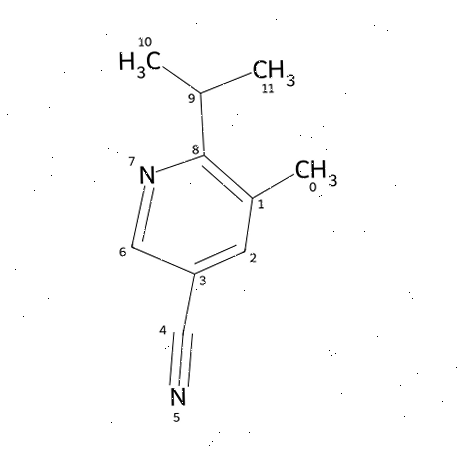 Cc1cc(C#N)cnc1C(C)C